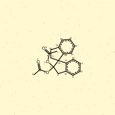 CC(=O)OC1(OC(C)=O)Cc2ccccc2C12CCc1ccccc12